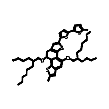 CCCCCCC(CCCC)COc1cc2cc(-c3ccc(-c4ccc(C)s4)s3)sc2c2c(OCC(CCCC)CCCCCC)cc3cc(C)sc3c12